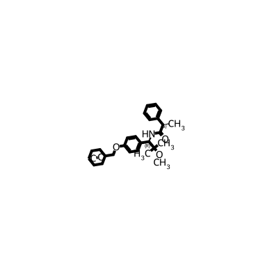 COC(C)(C)[C@H](NC(=O)[C@@H](C)c1ccccc1)c1ccc(OCC23CCC(CC2)CC3)cc1